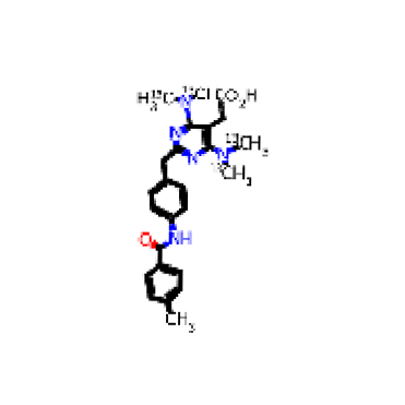 Cc1ccc(C(=O)Nc2ccc(Cc3nc(N([13CH3])[13CH3])c(C[13C](=O)O)c(N([13CH3])[13CH3])n3)cc2)cc1